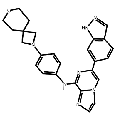 c1cn2cc(-c3ccc4cn[nH]c4c3)nc(Nc3ccc(N4CC5(CCOCC5)C4)cc3)c2n1